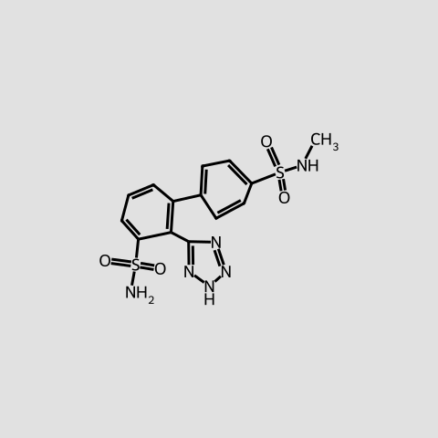 CNS(=O)(=O)c1ccc(-c2cccc(S(N)(=O)=O)c2-c2nn[nH]n2)cc1